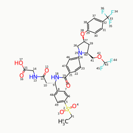 CCS(=O)(=O)c1ccc([C@H](CC(=O)NCC(=O)O)NC(=O)c2ccc(N3C[C@@H](Oc4ccc(C(F)(F)F)cc4)C[C@H]3COC(F)F)cc2)cc1